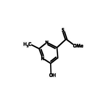 COC(=S)c1cc(O)nc(C)n1